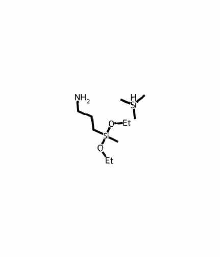 CCO[Si](C)(CCCN)OCC.C[SiH](C)C